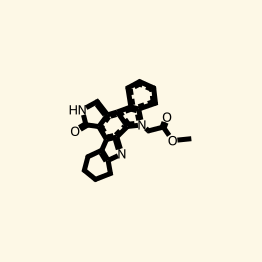 COC(=O)Cn1c2ccccc2c2c3c(c4c(c21)=NC1=C4CCCC1)C(=O)NC=3